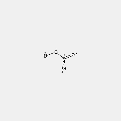 CCO[PH](=O)S